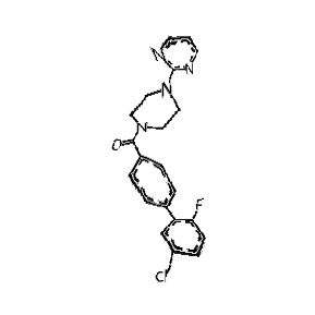 O=C(c1ccc(-c2cc(Cl)ccc2F)cc1)N1CCN(c2ncccn2)CC1